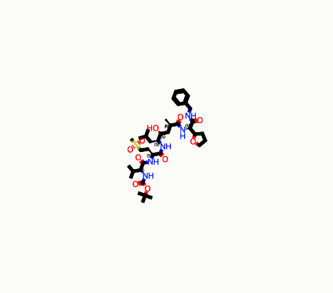 CC(C)C[C@H](NC(=O)[C@H](CCS(C)(=O)=O)NC(=O)[C@@H](NC(=O)OC(C)(C)C)C(C)C)[C@@H](O)C[C@@H](C)C(=O)N[C@H](C(=O)NCc1ccccc1)C1CCCO1